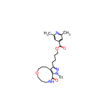 CCn1nc(CCCCOC(=O)c2cc(C)nc(C)c2)c2c1C(=O)NCCCOCCC2